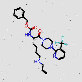 C=CCNCCCC[C@H](NC(=O)OCc1ccccc1)C(=O)N1CCN(c2ncccc2C(F)(F)F)CC1